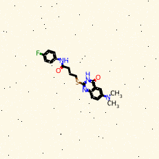 CN(C)c1ccc2nc(SCCCC(=O)Nc3ccc(F)cc3)[nH]c(=O)c2c1